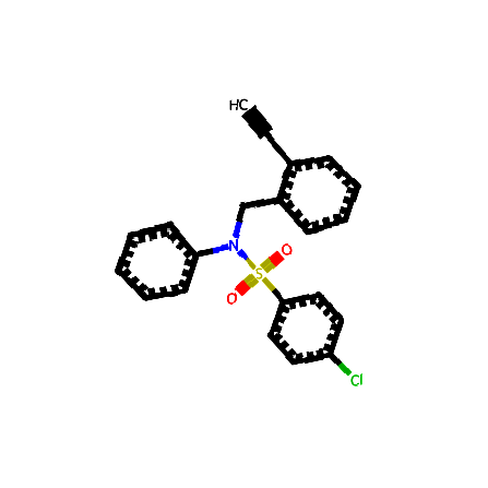 C#Cc1ccccc1CN(c1ccccc1)S(=O)(=O)c1ccc(Cl)cc1